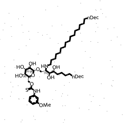 CCCCCCCCCCCCCCCCCCCCCCCCCCN[C@@H](CO[C@@H]1O[C@H](COC(=S)Nc2cccc(OC)c2)[C@H](O)[C@H](O)[C@H]1O)[C@H](O)[C@H](O)CCCCCCCCCCCCCC